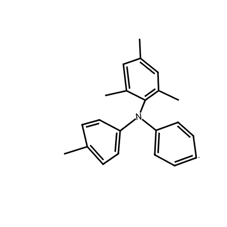 Cc1ccc(N(c2cc[c]cc2)c2c(C)cc(C)cc2C)cc1